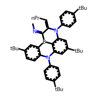 CCC/C=C1\C(=N/C)B2c3cc(C(C)(C)C)ccc3N(c3ccc(C(C)(C)C)cc3)c3cc(C(C)(C)C)cc(c32)N1c1ccc(C(C)(C)C)cc1